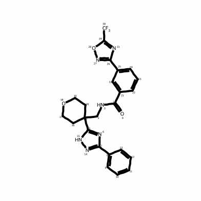 O=C(NCC1(c2nc(-c3ccccc3)n[nH]2)CCOCC1)c1cccc(-c2noc(C(F)(F)F)n2)c1